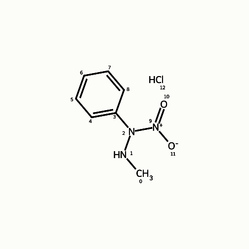 CNN(c1ccccc1)[N+](=O)[O-].Cl